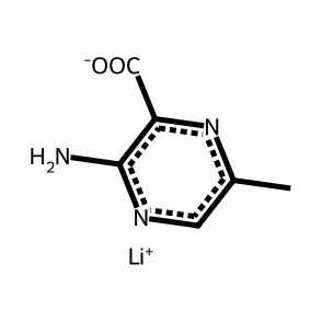 Cc1cnc(N)c(C(=O)[O-])n1.[Li+]